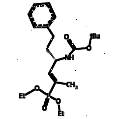 CCOP(=O)(OCC)/C(C)=C/[C@H](CCc1ccccc1)NC(=O)OC(C)(C)C